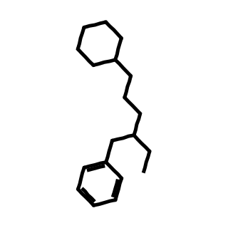 CCC(CCCC1CCCCC1)Cc1ccccc1